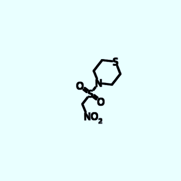 O=[N+]([O-])CS(=O)(=O)N1CCSCC1